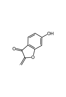 [CH]=C1Oc2cc(O)ccc2C1=O